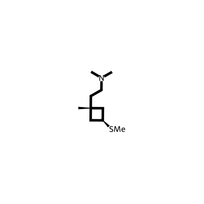 CS[C@H]1C[C@](C)(CCN(C)C)C1